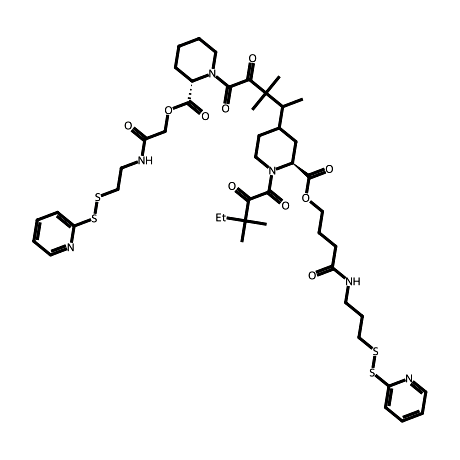 CCC(C)(C)C(=O)C(=O)N1CCC(C(C)C(C)(C)C(=O)C(=O)N2CCCC[C@H]2C(=O)OCC(=O)NCCSSc2ccccn2)C[C@H]1C(=O)OCCCC(=O)NCCCSSc1ccccn1